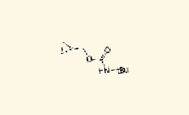 CC(C)(C)NC(=O)OCC1CC1